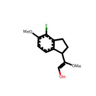 COC(=CO)C1CCc2c1ccc(OC)c2F